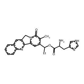 CCC(OC(=O)C(N)Cc1c[nH]cn1)c1cc2n(c(=O)c1C)Cc1cc3ccccc3nc1-2